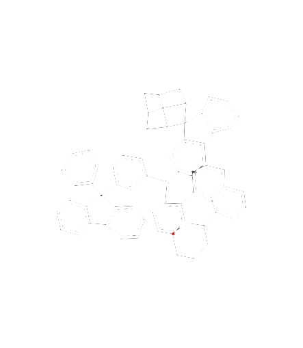 c1ccc(C2(c3cccc(N(c4ccc5c(c4)C4(c6ccccc6-5)C5CC6CC7CC4C675)c4ccccc4-c4cccc5cccc(C6CCCCC6)c45)c3)c3ccccc3-c3ccccc32)cc1